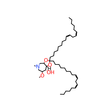 CCCCC/C=C\C/C=C\CCCCCCCCC1(CCCCCCCC/C=C\C/C=C\CCCCC)OC2CN(C)CC(OC)[C@@H](O)[C@H]2O1